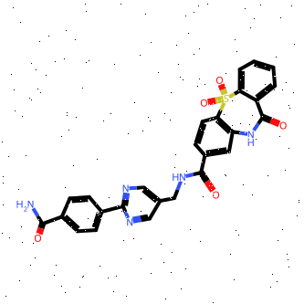 NC(=O)c1ccc(-c2ncc(CNC(=O)c3ccc4c(c3)NC(=O)c3ccccc3S4(=O)=O)cn2)cc1